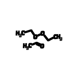 CC=O.CCOOCC